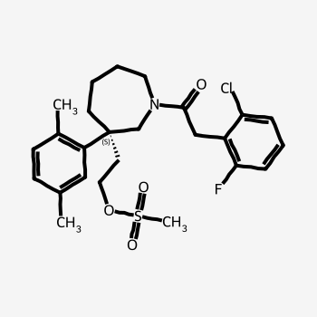 Cc1ccc(C)c([C@@]2(CCOS(C)(=O)=O)CCCCN(C(=O)Cc3c(F)cccc3Cl)C2)c1